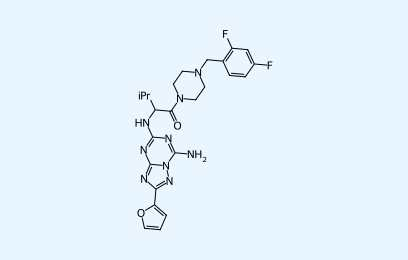 CC(C)C(Nc1nc(N)n2nc(-c3ccco3)nc2n1)C(=O)N1CCN(Cc2ccc(F)cc2F)CC1